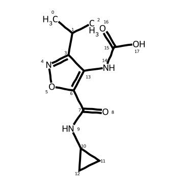 CC(C)c1noc(C(=O)NC2CC2)c1NC(=O)O